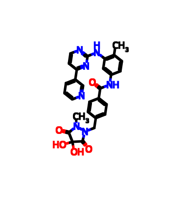 Cc1ccc(NC(=O)c2ccc(CN3C(=O)C(O)(O)C(=O)N3C)cc2)cc1Nc1nccc(-c2cccnc2)n1